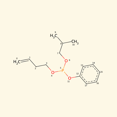 C=CCCOP(OCC(C)C)Oc1ccccc1